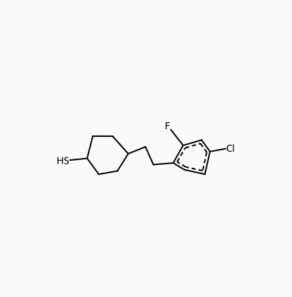 Fc1cc(Cl)ccc1CCC1CCC(S)CC1